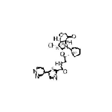 O=C(NCC(=O)[C@H]1CCCCC1N1C[C@H](Cl)[C@H]2OCC(=O)[C@H]21)c1ncc(-c2ccnnc2)s1